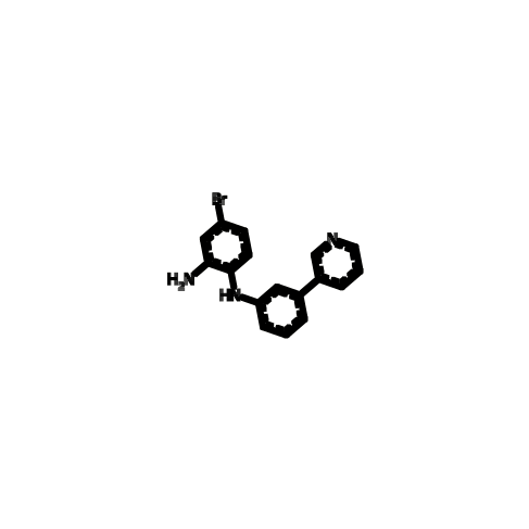 Nc1cc(Br)ccc1Nc1cccc(-c2cccnc2)c1